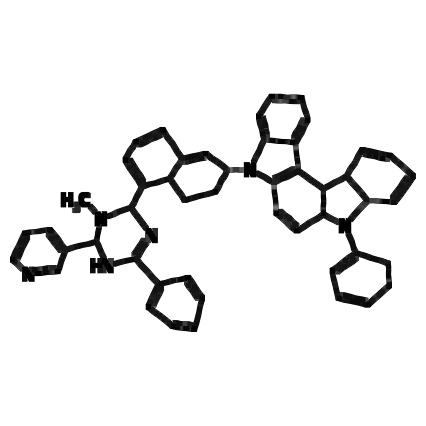 CN1C(C2=CC=CC3=CC(n4c5c(c6ccccc64)C4C6C=CC=CC6N(C6=CC=CCC6)C4C=C5)CCC32)N=C(c2ccccc2)NC1c1cccnc1